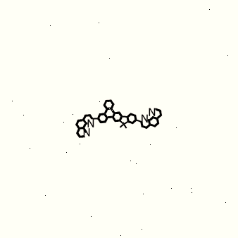 CC1(C)c2cc(-c3ccc4ccc5cccnc5c4n3)ccc2-c2cc3c4ccccc4c4cc(-c5ccc6ccc7cccnc7c6n5)ccc4c3cc21